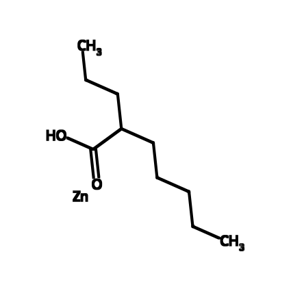 CCCCCC(CCC)C(=O)O.[Zn]